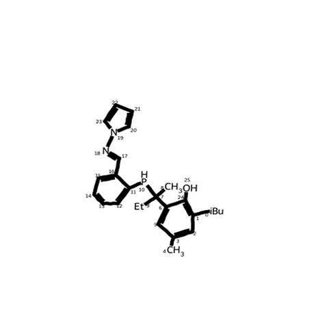 CCC(C)c1cc(C)cc(C(C)(CC)Pc2ccccc2/C=N/n2cccc2)c1O